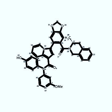 COc1cc(N(C(=O)c2cc(-c3cc4c(cc3C(=O)N3Cc5ccccc5C[C@H]3C)OCO4)n3ccccc23)c2ccc(O)cc2)ccn1